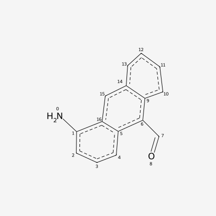 Nc1cccc2c(C=O)c3ccccc3cc12